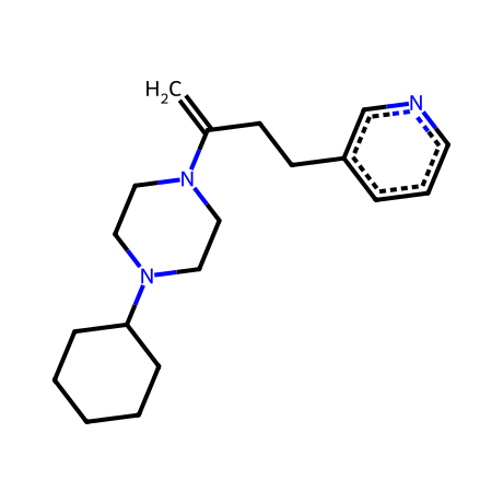 C=C(CCc1cccnc1)N1CCN(C2CCCCC2)CC1